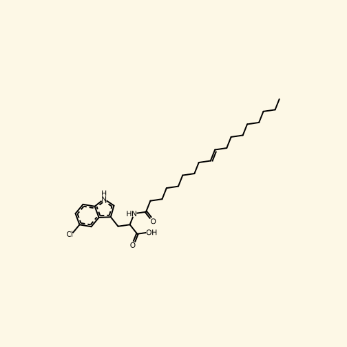 CCCCCCCCC=CCCCCCCCC(=O)NC(Cc1c[nH]c2ccc(Cl)cc12)C(=O)O